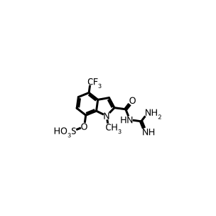 Cn1c(C(=O)NC(=N)N)cc2c(C(F)(F)F)ccc(OS(=O)(=O)O)c21